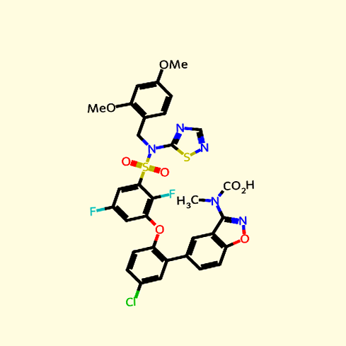 COc1ccc(CN(c2ncns2)S(=O)(=O)c2cc(F)cc(Oc3ccc(Cl)cc3-c3ccc4onc(N(C)C(=O)O)c4c3)c2F)c(OC)c1